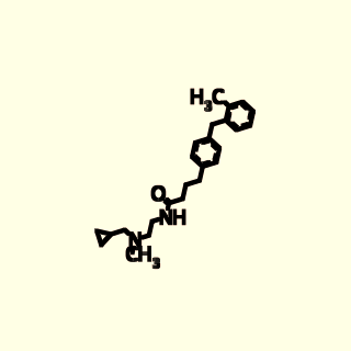 Cc1ccccc1Cc1ccc(CCCC(=O)NCCN(C)CC2CC2)cc1